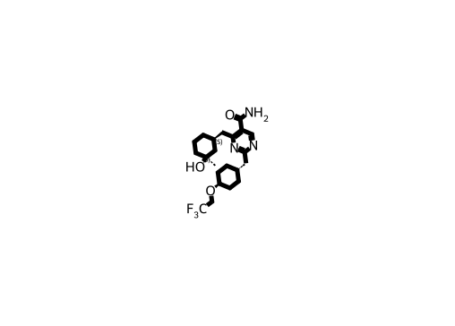 C[C@]1(O)CCC[C@@H](Cc2nc(C[C@H]3CC[C@H](OCC(F)(F)F)CC3)ncc2C(N)=O)C1